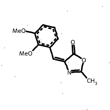 COc1cccc(C=C2N=C(C)OC2=O)c1OC